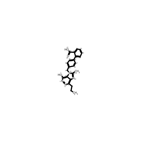 CCCc1nnc(O)c2c1nc(C)n2Cc1ccc(-c2ccccc2C(=O)O)cc1